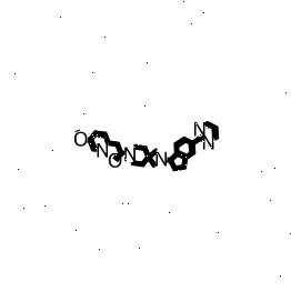 COc1ccc(CC(=O)N2CCC3(CC2)CN(C2CCc4cc(-c5ncccn5)ccc42)C3)nc1